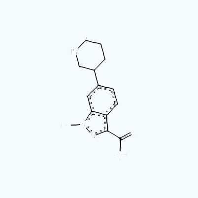 Cn1nc(C(=O)O)c2ccc(C3CCCNC3)cc21